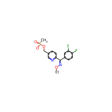 CCON=C(c1ccc(F)c(F)c1)c1ccc(COS(C)(=O)=O)cn1